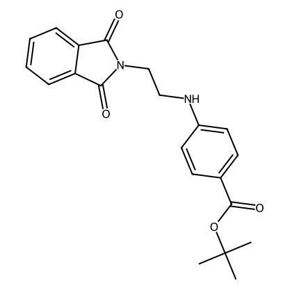 CC(C)(C)OC(=O)c1ccc(NCCN2C(=O)c3ccccc3C2=O)cc1